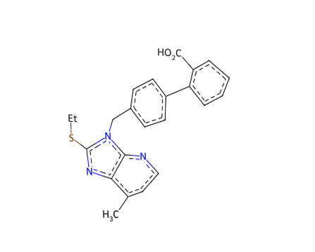 CCSc1nc2c(C)ccnc2n1Cc1ccc(-c2ccccc2C(=O)O)cc1